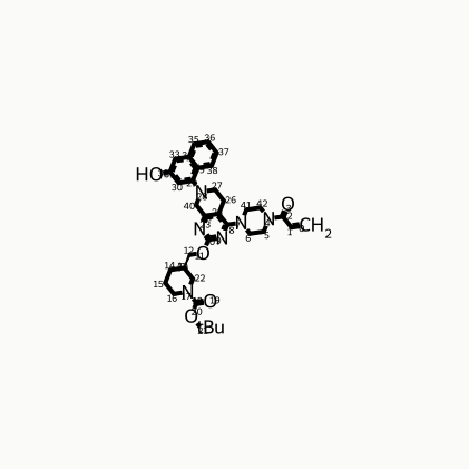 C=CC(=O)N1CCN(c2nc(OC[C@@H]3CCCN(C(=O)OC(C)(C)C)C3)nc3c2CCN(c2cc(O)cc4ccccc24)C3)CC1